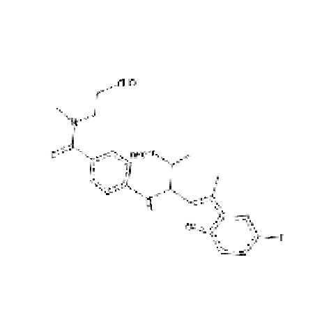 CCCCCC(C)C(Nc1ccc(C(=O)N(C)CCC=O)cc1)c1oc2ccc(F)cc2c1C